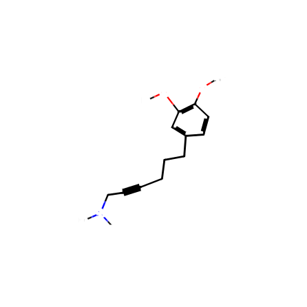 CCCOc1ccc(CCCC#CCN(CC)CC)cc1OCC